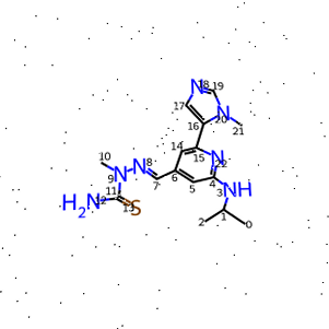 CC(C)Nc1cc(/C=N/N(C)C(N)=S)cc(-c2cncn2C)n1